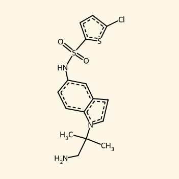 CC(C)(CN)n1ccc2cc(NS(=O)(=O)c3ccc(Cl)s3)ccc21